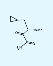 CN[C@@H](CC1CC1)C(=O)C(N)=O